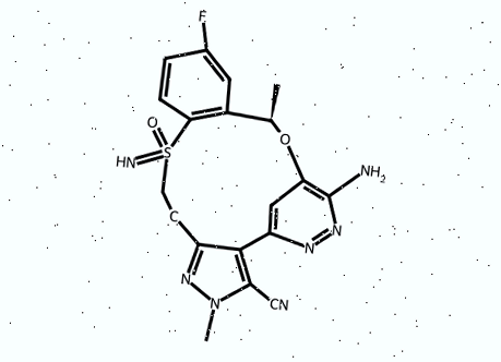 C[C@H]1Oc2cc(nnc2N)-c2c(nn(C)c2C#N)CCS(=N)(=O)c2ccc(F)cc21